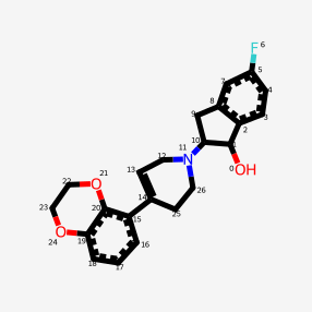 OC1c2ccc(F)cc2CC1N1CC=C(c2cccc3c2OCCO3)CC1